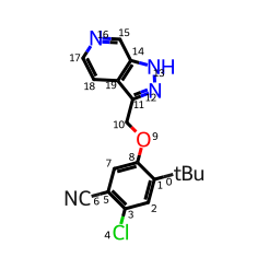 CC(C)(C)c1cc(Cl)c(C#N)cc1OCc1n[nH]c2cnccc12